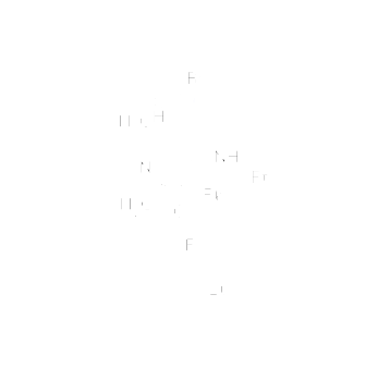 C=C1N=C(C)C(/C=C(\C)Br)=C(NC(CC)CC/C(=C/CC)CC)C1(C)CC